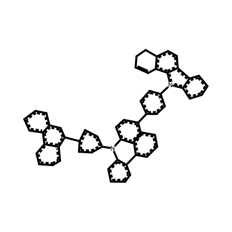 C1=Cc2c(ccc3c4ccccc4n(-c4ccc(-c5ccc(N(c6ccc(-c7cc8ccccc8c8ccccc78)cc6)c6ccccc6-c6ccccc6)cc5)cc4)c23)CC1